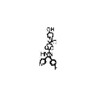 CC1(C(=O)N2CCC(O)CC2)COC(c2nc(-c3ccc(F)cc3)c(-c3ccncc3)[nH]2)OC1